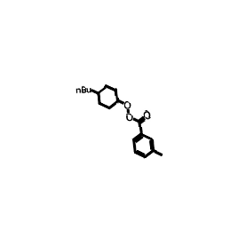 CCCCC1CC[C](OOC(=O)c2cccc(C)c2)CC1